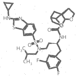 CC(C)CN(CC[C@H](Cc1cc(F)cc(F)c1)NC(=O)OC1C2COC3OCC1C3C2)S(=O)(=O)c1ccc2nc(NC3CC3)sc2c1